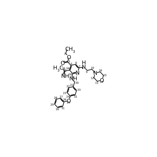 CCOC(=O)c1cc(NCCN2CCOCC2)nc(NCc2ccc(Oc3ccccc3)cc2)c1C(C)=N